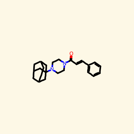 O=C(C=Cc1ccccc1)N1CCN(C23CC4CC(CC(C4)C2)C3)CC1